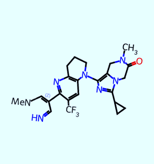 CN/C=C(\C=N)c1nc2c(cc1C(F)(F)F)N(c1nc(C3CC3)n3c1CN(C)C(=O)C3)CCC2